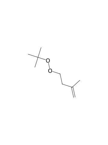 C=C(C)CCOOC(C)(C)C